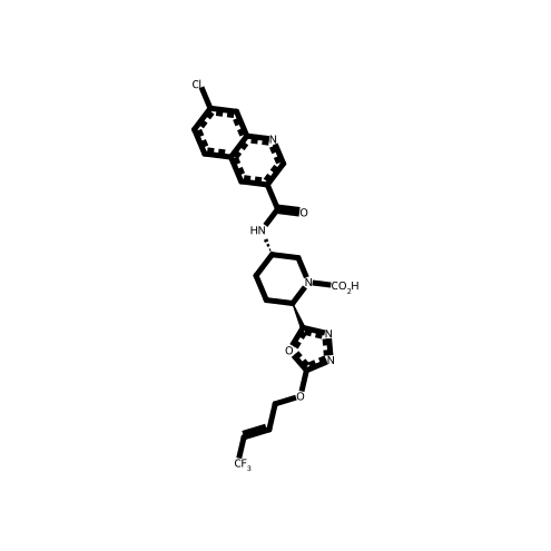 O=C(N[C@H]1CC[C@H](c2nnc(OC/C=C/C(F)(F)F)o2)N(C(=O)O)C1)c1cnc2cc(Cl)ccc2c1